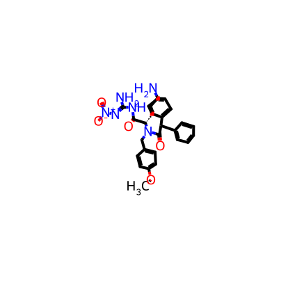 COc1ccc(CN(C(=O)C(c2ccccc2)c2ccccc2)[C@@H](CCCN)C(=O)NC(N)=N[N+](=O)[O-])cc1